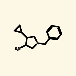 O=[N+]([O-])C1CN(Cc2ccccc2)CC1C1CC1